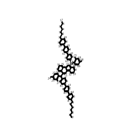 CCCCCCCc1ccc(-c2ccc(-c3ccc(C(c4ccc(C)cc4C)c4cc5c6ccccc6c(N(c6ccc(-c7ccc(-c8ccc(CCCCCCC)cc8)cc7)cc6)c6ccc(C)cc6C)cc5c5ccccc45)cc3)cc2)cc1